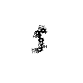 COc1ccc(F)cc1-c1ccnc2[nH]c(C3CCN(CC(=O)NC4CCS(O)(O)C4)CC3)cc12